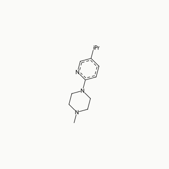 CC(C)c1ccc(N2CCN(C)CC2)nc1